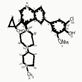 COc1cc(-c2ccc3ncc(C4(C=O)CC4)c(N4CCN(C5CCN(C)CC5)CC4)c3c2)cc(Cl)c1O